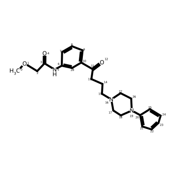 COCC(=O)Nc1cccc(C(=O)CCCN2CCN(c3ccccc3)CC2)c1